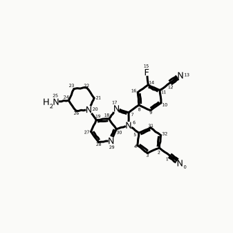 N#Cc1ccc(-n2c(-c3ccc(C#N)c(F)c3)nc3c(N4CCCC(N)C4)ccnc32)cc1